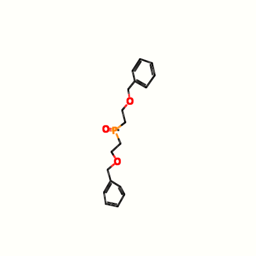 O=[P](CCOCc1ccccc1)CCOCc1ccccc1